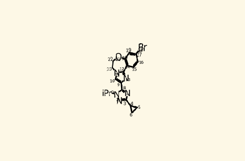 CC(C)n1nc(C2CC2)nc1-c1cn2c(n1)-c1ccc(Br)cc1OCC2